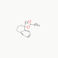 CCC1(OC(=O)C(C)(C)C)CCCCc2ccccc21